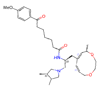 C=C1/C=C(C[C@@H](CN2CC(C)[C@@H](C)C2)NC(=O)CCCCCC(=O)c2ccc(OC)cc2)\C=C/COCCO1